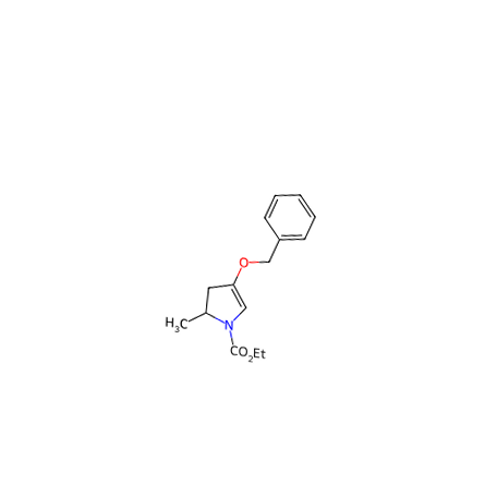 CCOC(=O)N1C=C(OCc2ccccc2)CC1C